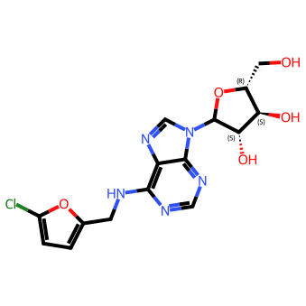 OC[C@H]1OC(n2cnc3c(NCc4ccc(Cl)o4)ncnc32)[C@@H](O)[C@@H]1O